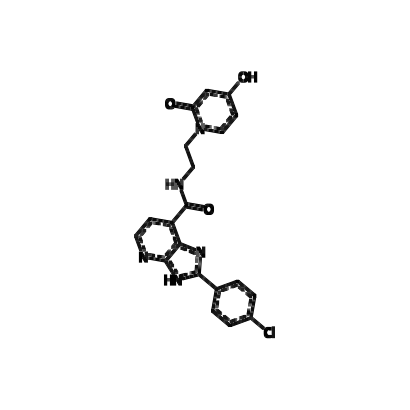 O=C(NCCn1ccc(O)cc1=O)c1ccnc2[nH]c(-c3ccc(Cl)cc3)nc12